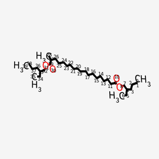 CCCCC(CC)COC(=O)CCCCCCCCCCCCCCCCC(C)C(=O)OCC(CC)CCCC